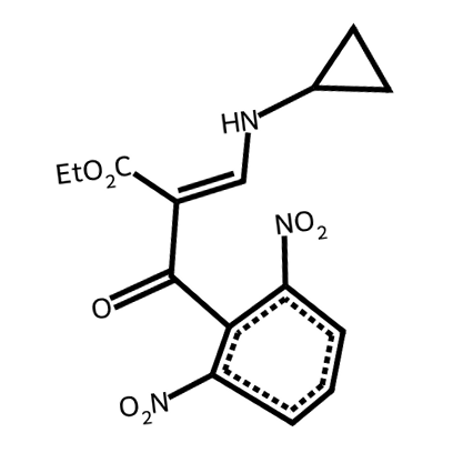 CCOC(=O)C(=CNC1CC1)C(=O)c1c([N+](=O)[O-])cccc1[N+](=O)[O-]